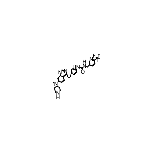 CN(c1ccc2c(Oc3ccc(NC(=O)NCc4ccc(C(F)(F)F)nc4)cc3)ncnc2c1)C1CCNCC1